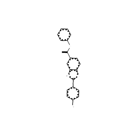 Nc1ccc(-c2nc3ccc(C(=O)Nc4ccccc4)cc3[nH]2)cc1